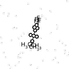 CC(C)(C)c1ccc(-c2c3ccccc3c(-c3cc4ccc5cc(C(F)(F)C(F)(F)F)cc6ccc(c3)c4c56)c3ccccc23)cc1